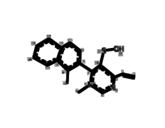 C=Cc1nc[n+](C)c(-c2ccc3ccccc3c2C)c1SO